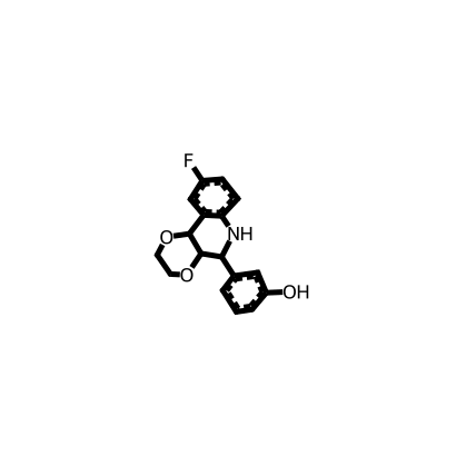 Oc1cccc(C2Nc3ccc(F)cc3C3OCCOC23)c1